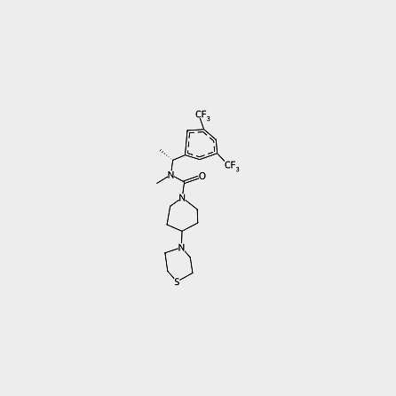 C[C@H](c1cc(C(F)(F)F)cc(C(F)(F)F)c1)N(C)C(=O)N1CCC(N2CCSCC2)CC1